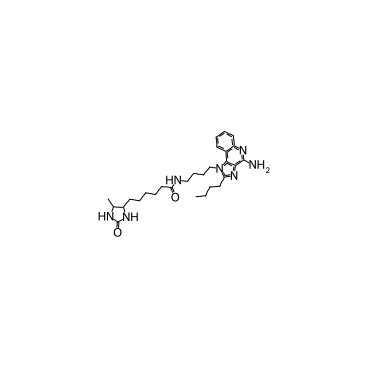 CCCCc1nc2c(N)nc3ccccc3c2n1CCCCNC(=O)CCCCCC1NC(=O)NC1C